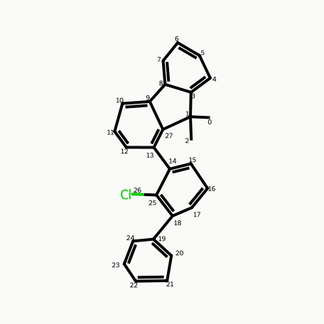 CC1(C)c2ccccc2-c2cccc(-c3cccc(-c4ccccc4)c3Cl)c21